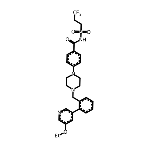 CCOc1cncc(-c2ccccc2CN2CCN(c3ccc(C(=O)NS(=O)(=O)CCC(F)(F)F)cc3)CC2)c1